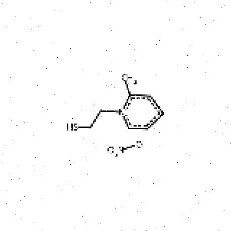 Cc1cccc[n+]1CCS.O=[N+]([O-])[O-]